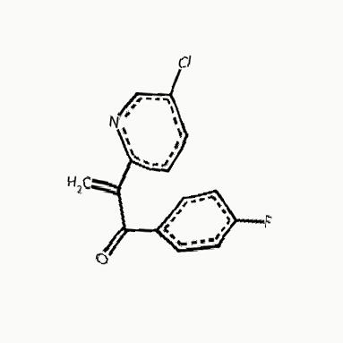 C=C(C(=O)c1ccc(F)cc1)c1ccc(Cl)cn1